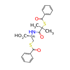 CC(C)(SC(=O)c1ccccc1)C(=O)N[C@@H](CSC(=O)c1ccccc1)C(=O)O